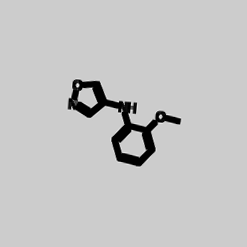 COc1ccccc1Nc1cnoc1